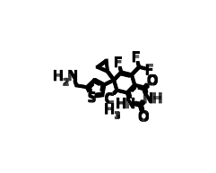 CC1c2[nH]c(=O)[nH]c(=O)c2C(C(F)F)=C(F)C1(c1csc(CN)c1)C1CC1